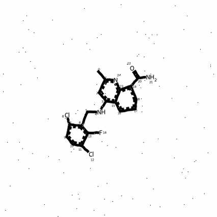 Cc1cc(NCc2c(Cl)ccc(Cl)c2F)c2cccc(C(N)=O)c2n1